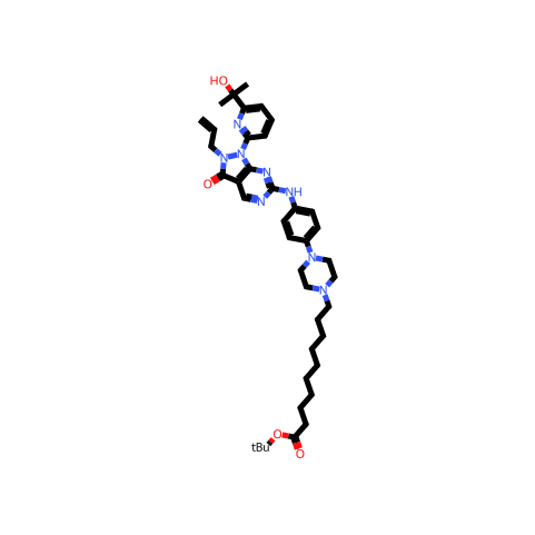 C=CCn1c(=O)c2cnc(Nc3ccc(N4CCN(CCCCCCCCCC(=O)OC(C)(C)C)CC4)cc3)nc2n1-c1cccc(C(C)(C)O)n1